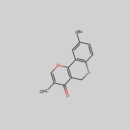 CCCCc1ccc2c(c1)-c1occ(C=O)c(=O)c1CS2